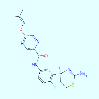 CC(C)=NOc1cnc(C(=O)Nc2ccc(F)c([C@]3(C)CCSC(N)=N3)c2)cn1